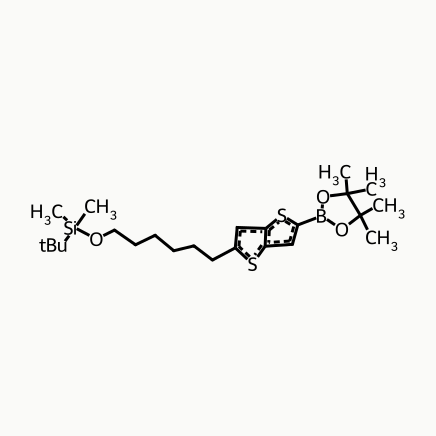 CC1(C)OB(c2cc3sc(CCCCCCO[Si](C)(C)C(C)(C)C)cc3s2)OC1(C)C